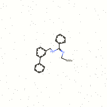 CNC/N=C(\NCc1cccc(-c2ccccc2)c1)c1ccccc1